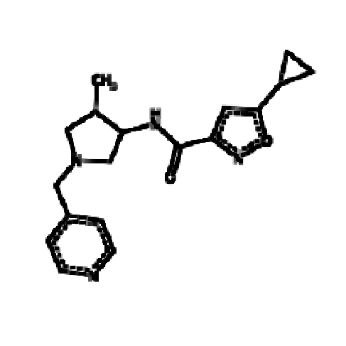 CC1CN(Cc2ccncc2)CC1NC(=O)c1cc(C2CC2)on1